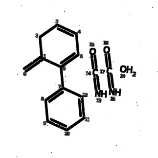 C=C1CC=CC=C1c1ccccc1.N=C=O.N=C=O.O